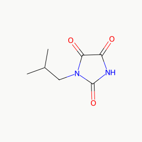 CC(C)CN1C(=O)NC(=O)C1=O